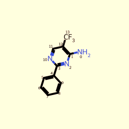 Nc1nc(-c2ccccc2)ncc1C(F)(F)F